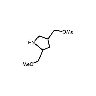 COCC1CNC(COC)C1